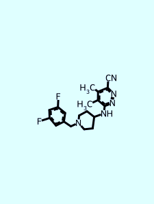 Cc1c(C#N)nnc(NC2CCN(Cc3cc(F)cc(F)c3)CC2)c1C